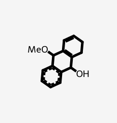 COC1C2=C(CCC=C2)C(O)c2ccccc21